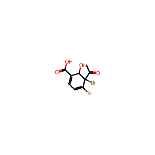 CC(=O)C1(Br)C(Br)=CC=C(C(=O)O)C1O